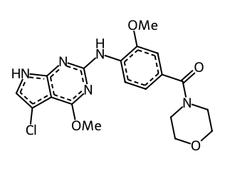 COc1cc(C(=O)N2CCOCC2)ccc1Nc1nc(OC)c2c(Cl)c[nH]c2n1